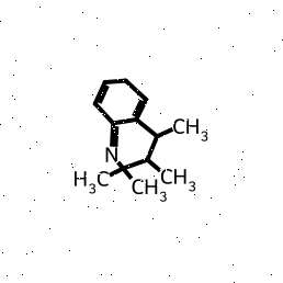 CC1C2=CCC=CC2=NC(C)(C)C1C